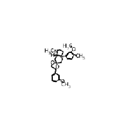 COc1cccc(C2COC3(CC[C@@]4(c5ccc(C)c(OC)c5)CCN(C)[C@H]4C3)O2)c1